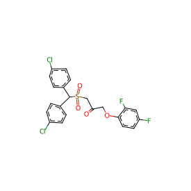 O=C(COc1ccc(F)cc1F)CS(=O)(=O)C(c1ccc(Cl)cc1)c1ccc(Cl)cc1